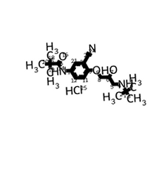 CC(C)(C)NCC(O)COc1ccc(NC(=O)C(C)(C)C)cc1C#N.Cl